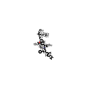 C=C(C)[C@H](C)C[C@H]1CC[C@@H]2OC(CCC(/C=C/[C@H](O[Si](C)(C)C(C)(C)C)[C@@H]3O[C@H]4CC[C@H](CC(=O)C[C@@H]5[C@@H](C)[C@@H](C[C@H](C)CC)O[C@H]5CCO[Si](CC)(CC)CC)O[C@@H]4[C@H](O[Si](C)(C)C(C)(C)C)[C@@H]3O[Si](C)(C)C(C)(C)C)OC(=O)c3ccccc3)C[C@]2(CI)O1